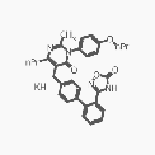 CCCOc1ccc(-n2c(C)nc(CCC)c(Cc3ccc(-c4ccccc4-c4noc(=O)[nH]4)cc3)c2=O)cc1.[KH]